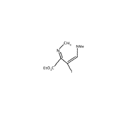 CCOC(=O)C(=N/C)/C(I)=C\NC